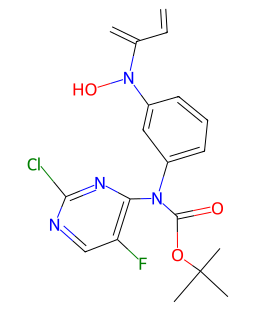 C=CC(=C)N(O)c1cccc(N(C(=O)OC(C)(C)C)c2nc(Cl)ncc2F)c1